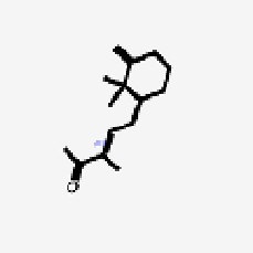 C=C1CCCC(C/C=C(\C)C(C)=O)C1(C)C